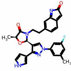 Cc1cc(F)cc(-n2cc([C@H]3O[C@@H](C)C(=O)N3CCc3ccc4c(c3)=NC(=O)C=4)c(-c3cc[nH]c3)n2)c1